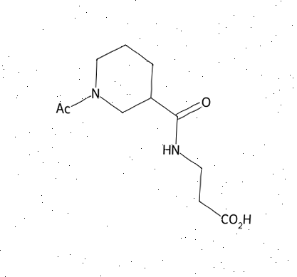 CC(=O)N1CCCC(C(=O)NCCC(=O)O)C1